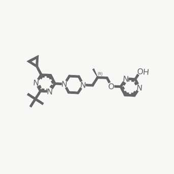 C[C@@H](COc1ccnc(O)n1)CN1CCN(c2cc(C3CC3)nc(C(C)(C)C)n2)CC1